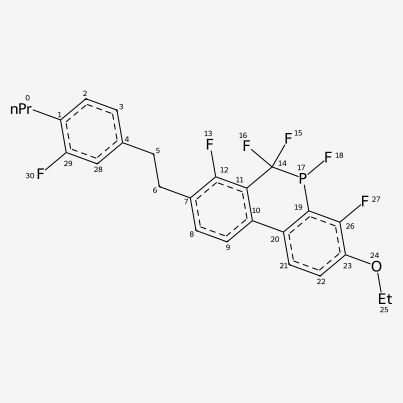 CCCc1ccc(CCc2ccc3c(c2F)C(F)(F)P(F)c2c-3ccc(OCC)c2F)cc1F